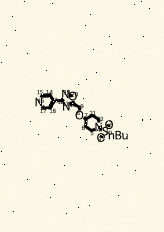 CCCCS(=O)(=O)N1CCC(OCc2nc(-c3ccncc3)no2)CC1